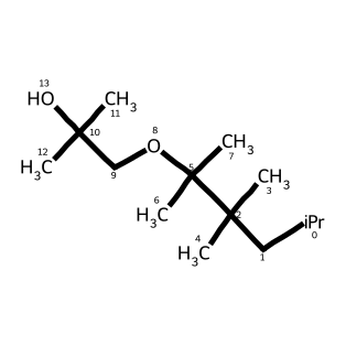 CC(C)CC(C)(C)C(C)(C)OCC(C)(C)O